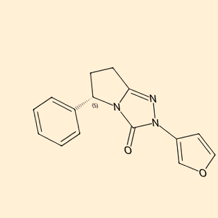 O=c1n(-c2ccoc2)nc2n1[C@H](c1ccccc1)CC2